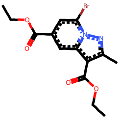 CCOC(=O)c1cc(Br)n2nc(C)c(C(=O)OCC)c2c1